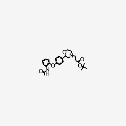 CC(=O)Nc1ccccc1Oc1ccc(C2CN(CCC(=O)OC(C)(C)C)CCO2)cc1